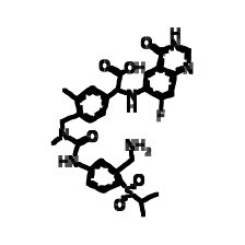 Cc1cc(C(Nc2cc3c(=O)[nH]cnc3cc2F)C(=O)O)ccc1CN(C)C(=O)Nc1ccc(S(=O)(=O)C(C)C)c(CN)c1